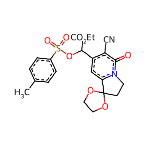 CCOC(=O)C(OS(=O)(=O)c1ccc(C)cc1)c1cc2n(c(=O)c1C#N)CCC21OCCO1